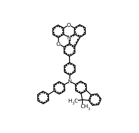 CC1(C)c2ccccc2-c2ccc(N(c3ccc(-c4ccccc4)cc3)c3ccc(-c4cc5c6c(c4)c4cccc7c4n6-c4c(cccc4O5)O7)cc3)cc21